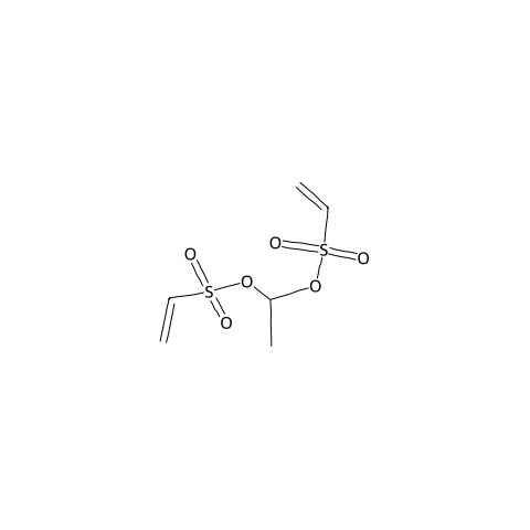 C=CS(=O)(=O)OC(C)OS(=O)(=O)C=C